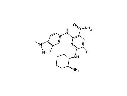 Cn1ncc2cc(Nc3nc(N[C@@H]4CCCC[C@@H]4N)c(F)cc3C(N)=O)ccc21